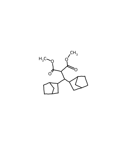 COC(=O)C(C(=O)OC)C(C1CC2CCC1C2)C1CC2CCC1C2